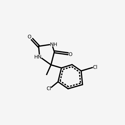 CC1(c2cc(Cl)ccc2Cl)NC(=O)NC1=O